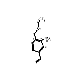 C=Cc1ccc(COCC(F)(F)F)c([N+](=O)[O-])c1